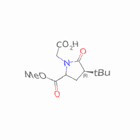 COC(=O)C1C[C@H](C(C)(C)C)C(=O)N1CC(=O)O